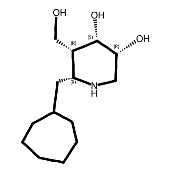 OC[C@@H]1[C@H](O)[C@H](O)CN[C@@H]1CC1CCCCCC1